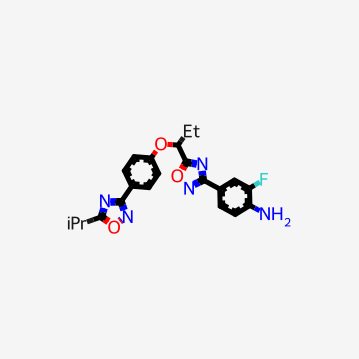 CCC(Oc1ccc(-c2noc(C(C)C)n2)cc1)c1nc(-c2ccc(N)c(F)c2)no1